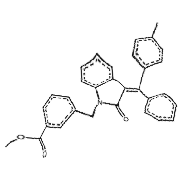 COC(=O)c1cccc(CN2C(=O)/C(=C(\c3ccccc3)c3ccc(C)cc3)c3ccccc32)c1